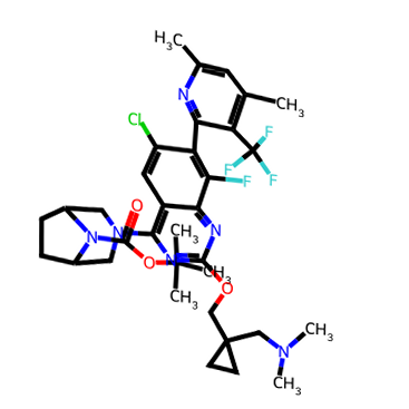 Cc1cc(C)c(C(F)(F)F)c(-c2c(Cl)cc3c(N4CC5CCC(C4)N5C(=O)OC(C)(C)C)nc(OCC4(CN(C)C)CC4)nc3c2F)n1